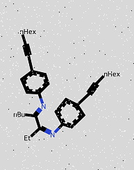 CCCCCCC#Cc1ccc(N=C(CC)C(CCCC)=Nc2ccc(C#CCCCCCC)cc2)cc1